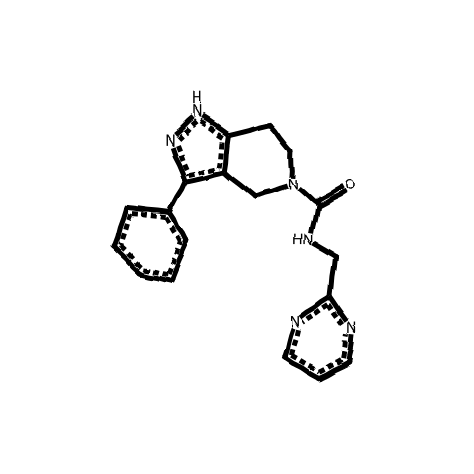 O=C(NCc1ncccn1)N1CCc2[nH]nc(-c3ccccc3)c2C1